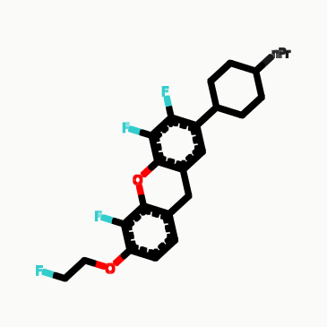 CCCC1CCC(c2cc3c(c(F)c2F)Oc2c(ccc(OCCF)c2F)C3)CC1